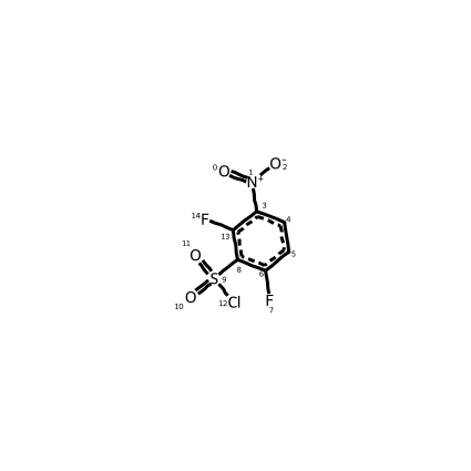 O=[N+]([O-])c1ccc(F)c(S(=O)(=O)Cl)c1F